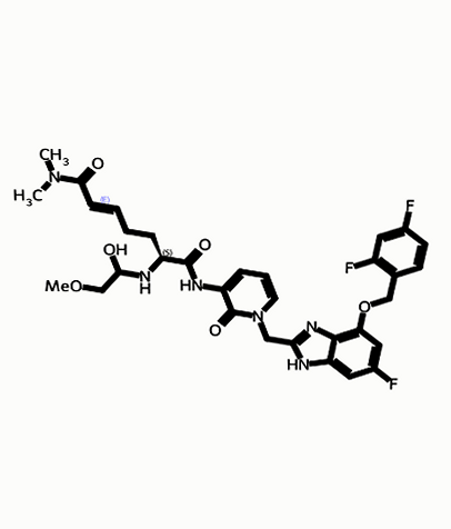 COCC(O)N[C@@H](CC/C=C/C(=O)N(C)C)C(=O)Nc1cccn(Cc2nc3c(OCc4ccc(F)cc4F)cc(F)cc3[nH]2)c1=O